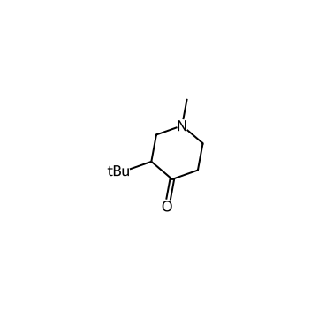 CN1CCC(=O)C(C(C)(C)C)C1